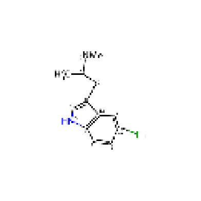 CNC(C)Cc1c[nH]c2ccc(F)cc12